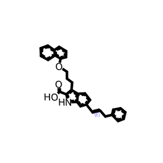 O=C(O)c1[nH]c2cc(/C=C/Cc3ccccc3)ccc2c1CCCOc1cccc2ccccc12